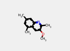 COc1cc2c(C)cc(C)cc2nc1C